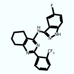 Fc1ccc2[nH]nc(Nc3nc(-c4ccccc4C(F)(F)F)nc4c3CCCC4)c2c1